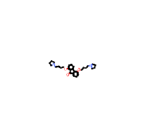 O=C1c2cccc(OCCCCN3CCCC3)c2-c2cccc(OCCCCN3CCCC3)c21